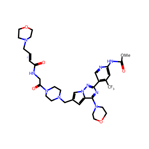 COC(=O)Nc1cc(C(F)(F)F)c(-c2nc(N3CCOCC3)c3cc(CN4CCN(C(=O)CNC(=O)/C=C/CN5CCOCC5)CC4)cn3n2)cn1